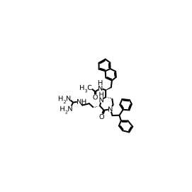 CC(=O)N[C@@H](Cc1ccc2ccccc2c1)[C@@H]1CCN(CC(c2ccccc2)c2ccccc2)C(=O)[C@H](CCCNC(N)N)N1